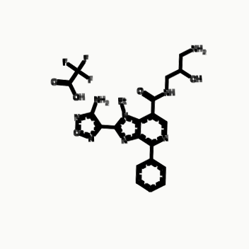 CCn1c(-c2nonc2N)nc2c(-c3ccccc3)ncc(C(=O)NCC(O)CN)c21.O=C(O)C(F)(F)F